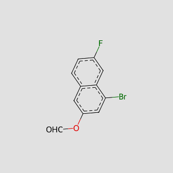 O=COc1cc(Br)c2cc(F)ccc2c1